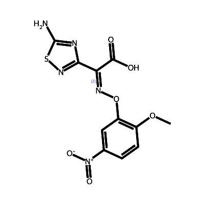 COc1ccc([N+](=O)[O-])cc1O/N=C(\C(=O)O)c1nsc(N)n1